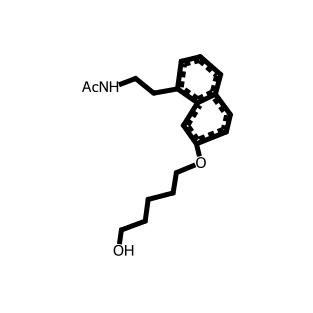 CC(=O)NCCc1cccc2ccc(OCCCCCO)cc12